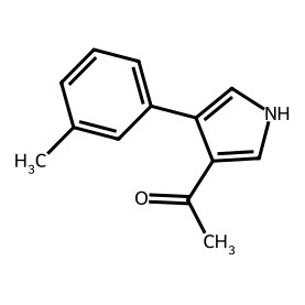 CC(=O)c1c[nH]cc1-c1cccc(C)c1